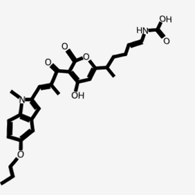 CCCOc1ccc2c(c1)cc(/C=C(\C)C(=O)c1c(O)cc(C(C)CC/C=C/NC(=O)O)oc1=O)n2C